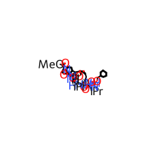 COC(=O)c1coc(-c2nc3oc2C24c5ccccc5N[C@H]2Oc2ccc(cc24)C[C@H](NC(=O)C(C(C)C)N(C)C(=O)OCc2ccccc2)C(=O)N[C@H]3C(C)C)n1